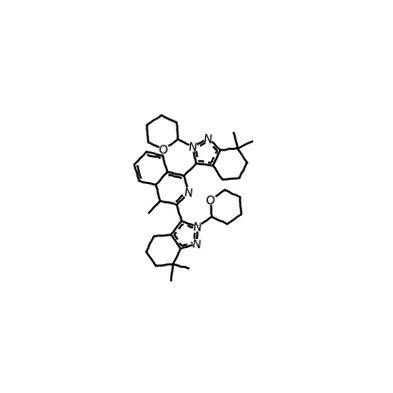 CC1C(c2c3c(nn2C2CCCCO2)C(C)(C)CCC3)=NC(c2c3c(nn2C2CCCCO2)C(C)(C)CCC3)=C2C=CC=CC21